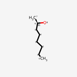 CCCCCC[C@@H](C)[O]